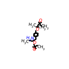 CCCC(N)(Cc1ccc(COC(C)(CC)CC2(CC)COC2)cc1)OCC1(CC)COC1